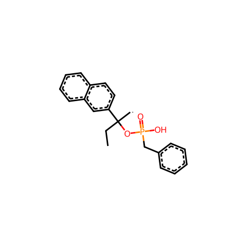 [CH2]C(CC)(OP(=O)(O)Cc1ccccc1)c1ccc2ccccc2c1